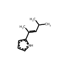 C/C(=C\C(C)C)c1ccc[nH]1